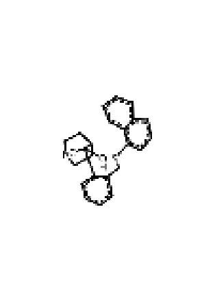 OC1(c2ccccc2CSc2cccc3ccccc23)CN2CCC1CC2